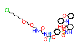 O=C(CNC(=O)C(F)(F)Oc1cccc(S(=O)(=O)N[C@@H]2CCCC(N3c4ccccc4Oc4ccccc43)[C@H]2O)c1)NCCOCCOCCCCCCCl